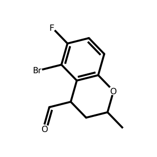 CC1CC(C=O)c2c(ccc(F)c2Br)O1